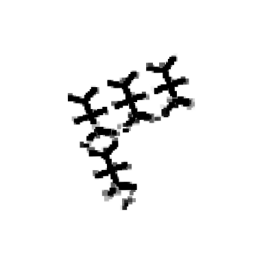 CC(C)C(C)(C)[PH](=O)[O-].CC(C)C(C)(C)[PH](=O)[O-].CC(C)C(C)(C)[PH](=O)[O-].CC(C)C(C)(C)[PH](=O)[O-].[Ti+4]